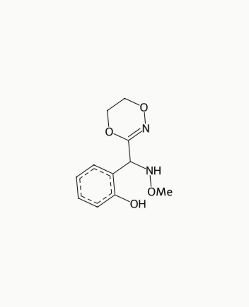 CONC(C1=NOCCO1)c1ccccc1O